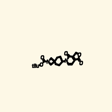 CC(C)(C)OC(=O)N1CC2(CCC(n3ccc4c(c3=O)COC4=O)CC2)C1